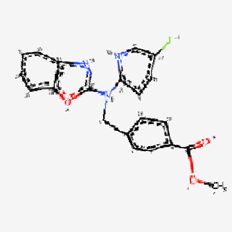 COC(=O)c1ccc(CN(c2ccc(F)cn2)c2nc3ccccc3o2)cc1